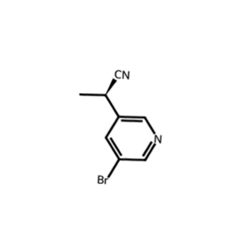 C[C@@H](C#N)c1cncc(Br)c1